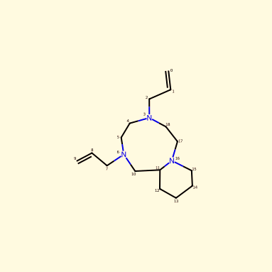 C=CCN1CCN(CC=C)CC2CCCCN2CC1